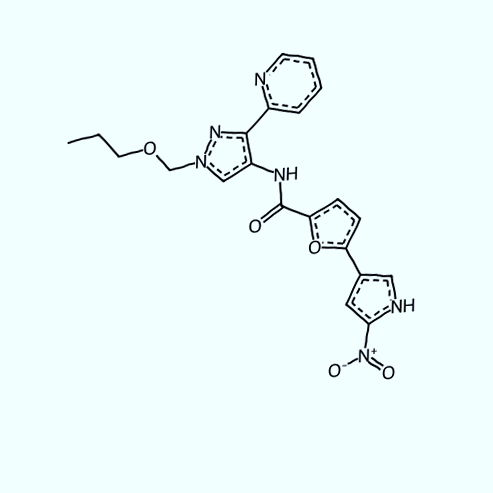 CCCOCn1cc(NC(=O)c2ccc(-c3c[nH]c([N+](=O)[O-])c3)o2)c(-c2ccccn2)n1